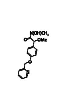 COC(C(=O)N(C)O)c1ccc(OCc2ccccn2)cc1